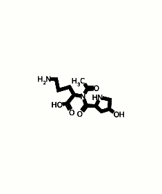 CC(=O)N(C(=O)C1CC(O)CN1)C(CCCN)C(=O)O